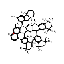 Cc1cc(C)c2c(c1)N(c1cc3c(cc1-c1ccccc1)C(C)(C)CCC3(C)C)C1=CC(C(c3cc4c(cc3C)C(C)(C)CCC4(C)C)c3cc4c(cc3C)C(C)(C)CCC4(C)C)CC=C1B2c1cc(C(C)(C)C)cc2c1CC1(C)CCCCC21C